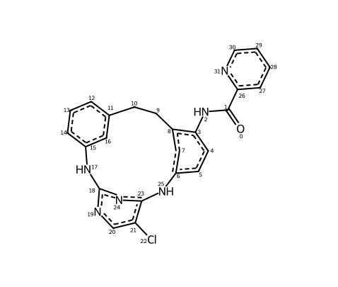 O=C(Nc1ccc2cc1CCc1cccc(c1)Nc1ncc(Cl)c(n1)N2)c1ccccn1